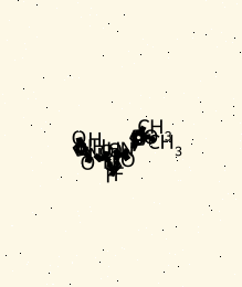 COc1cc(CNC(=O)C(=O)C2CC(F)(F)CN2C(=O)CNC(=O)C2CCC(=O)N2)ccc1C